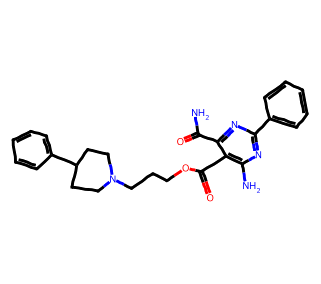 NC(=O)c1nc(-c2ccccc2)nc(N)c1C(=O)OCCCN1CCC(c2ccccc2)CC1